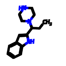 CCC(c1cc2ccccc2[nH]1)N1CCNCC1